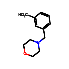 O=C(O)c1cccc(CN2CCOCC2)c1